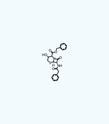 O=C(Cc1ccccc1)N[C@@H]1C(=O)N2C(C(=O)OCc3ccccc3)C(O)CS[C@H]12